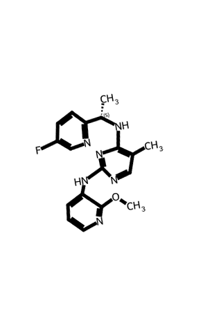 COc1ncccc1Nc1ncc(C)c(N[C@@H](C)c2ccc(F)cn2)n1